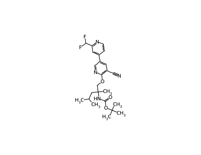 CC(C)CC(C)(COc1ncc(-c2ccnc(C(F)F)c2)cc1C#N)NC(=O)OC(C)(C)C